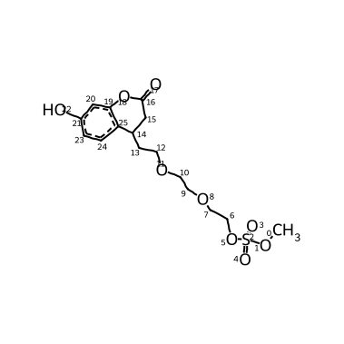 COS(=O)(=O)OCCOCCOCCC1CC(=O)Oc2cc(O)ccc21